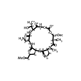 CCCCCCCCCC[C@H]1OC(=O)CNC(=O)[C@H]([C@H](C)O)NC(=O)[C@H](CN)NC(=O)[C@H](CCCOC)NC(=O)[C@H](CC(C)C)N(C)C(=O)[C@@H]1C